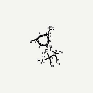 CC[n+]1cccc(C)c1.F[B-](F)(F)C(F)(F)C(F)(F)F